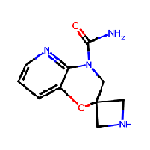 NC(=O)N1CC2(CNC2)Oc2cccnc21